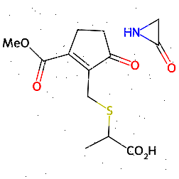 COC(=O)C1=C(CSC(C)C(=O)O)C(=O)CC1.O=C1CN1